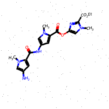 CCOC(=O)c1nc(OC(=O)c2cc(NC(=O)c3cc(N)cn3C)cn2C)cn1C